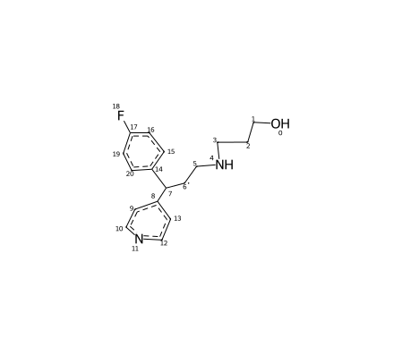 OCCCNC[CH]C(c1ccncc1)c1ccc(F)cc1